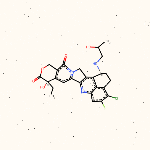 CC[C@@]1(O)C(=O)OCc2c1cc1n(c2=O)Cc2c-1nc1cc(F)c(Cl)c3c1c2[C@H](NCC(C)O)CC3